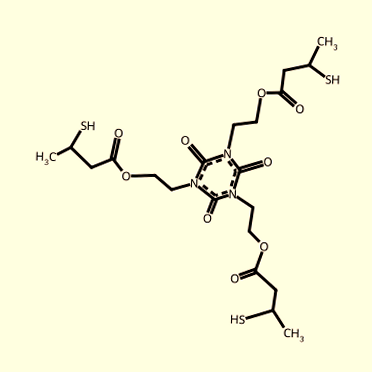 CC(S)CC(=O)OCCn1c(=O)n(CCOC(=O)CC(C)S)c(=O)n(CCOC(=O)CC(C)S)c1=O